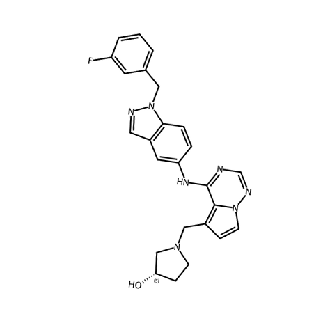 O[C@H]1CCN(Cc2ccn3ncnc(Nc4ccc5c(cnn5Cc5cccc(F)c5)c4)c23)C1